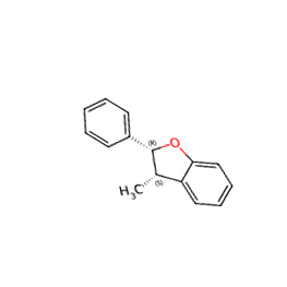 C[C@H]1c2ccccc2O[C@H]1c1ccccc1